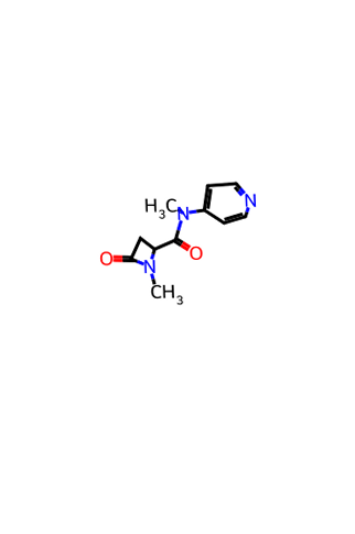 CN(C(=O)C1CC(=O)N1C)c1ccncc1